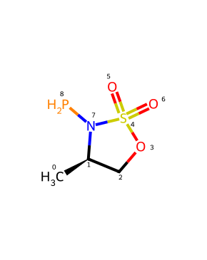 C[C@@H]1COS(=O)(=O)N1P